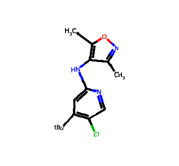 Cc1noc(C)c1Nc1cc(C(C)(C)C)c(Cl)cn1